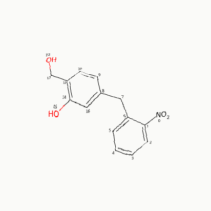 O=[N+]([O-])c1ccccc1Cc1ccc(CO)c(O)c1